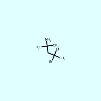 CCC(C)(CC)CC(C)(C)N